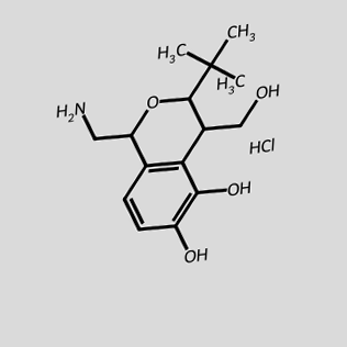 CC(C)(C)C1OC(CN)c2ccc(O)c(O)c2C1CO.Cl